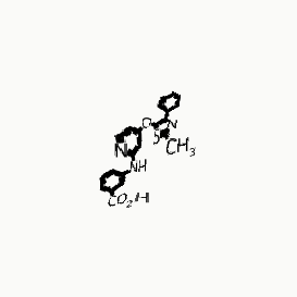 Cc1nc(-c2ccccc2)c(Oc2ccnc(Nc3cccc(C(=O)O)c3)c2)s1